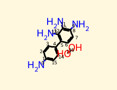 Nc1ccc(-c2ccc(N)c(N)c2N)cc1.OO